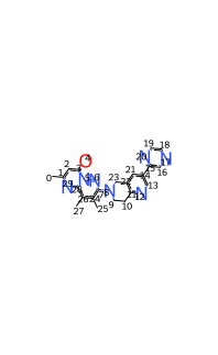 Cc1cc(=O)n2nc(N3CCc4ncc(-c5cnccn5)cc4C3)c(C)c(C)c2n1